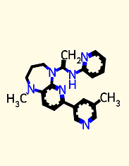 C=C(Nc1ccccn1)N1CCCN(C)c2ccc(-c3cncc(C)c3)nc21